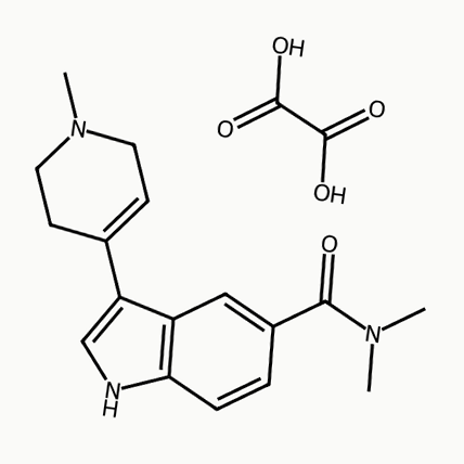 CN1CC=C(c2c[nH]c3ccc(C(=O)N(C)C)cc23)CC1.O=C(O)C(=O)O